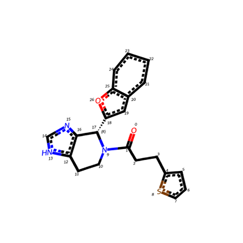 O=C(CCc1cccs1)N1CCc2[nH]cnc2[C@@H]1c1cc2ccccc2o1